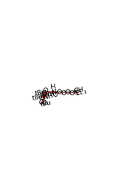 CCN(C)CCOCCOCCOCCOCCC(=O)NCCCC[C@H](NC(=O)N[C@@H](CCC(=O)OC(C)(C)C)C(=O)OC(C)(C)C)C(=O)OC(C)(C)C